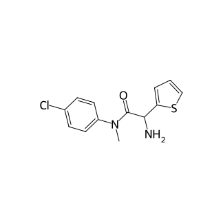 CN(C(=O)C(N)c1cccs1)c1ccc(Cl)cc1